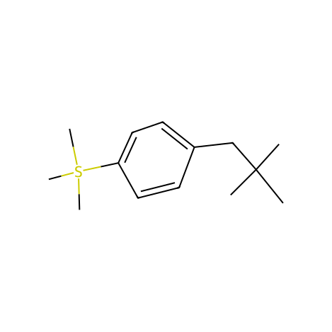 CC(C)(C)Cc1ccc(S(C)(C)C)cc1